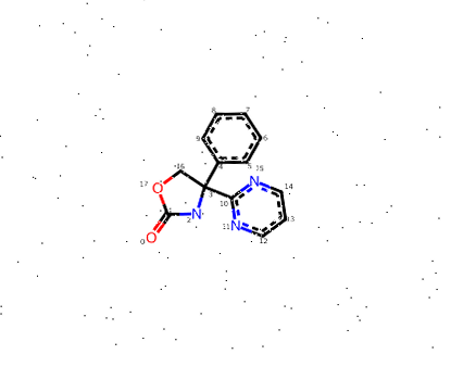 O=C1[N]C(c2ccccc2)(c2ncccn2)CO1